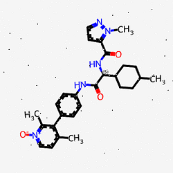 Cc1cc[n+]([O-])c(C)c1-c1ccc(NC(=O)[C@@H](NC(=O)c2ccnn2C)C2CCC(C)CC2)cc1